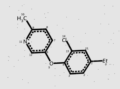 CCc1ccc(Oc2ccc(C)nc2)c(Cl)c1